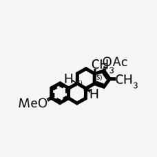 COc1ccc2c(c1)CC[C@H]1C3=CC(C)=C(OC(C)=O)[C@@]3(C)CC[C@H]21